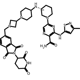 Cc1cc(Nc2nc(N3CCC[C@@H](NC4CCN(C5CN(Cc6ccc7c(c6)C(=O)N(C6CCC(=O)NC6=O)C7=O)C5)CC4)C3)cnc2C(N)=O)sn1